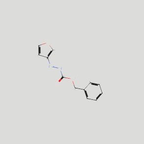 O=C(NNc1ccoc1)OCc1ccccc1